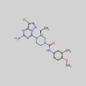 CC[C@H]1CN(C(=O)Nc2ccc(OC)c(C)c2)CCN1c1nc(N)nc2c(Cl)cnn12